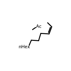 C/C=C\CCCCCCCCC.CC(C)=O